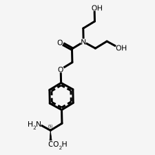 N[C@@H](Cc1ccc(OCC(=O)N(CCO)CCO)cc1)C(=O)O